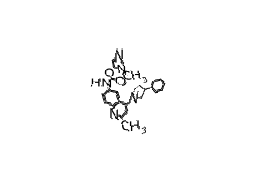 Cc1cc(N2CCC(c3ccccc3)C2)c2cc(NC(=O)Oc3cncn3C)ccc2n1